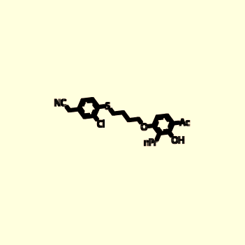 CCCc1c(OCCCCSc2ccc(CC#N)cc2Cl)ccc(C(C)=O)c1O